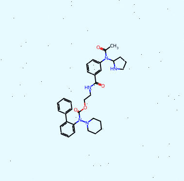 CC(=O)N(c1cccc(C(=O)NCCOC(=O)N(c2ccccc2-c2ccccc2)N2CC[CH]CC2)c1)C1CCCN1